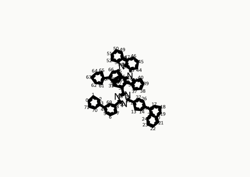 c1ccc(-c2cccc(-c3nc(-c4ccc(-c5cccc6ccccc56)cc4)nc(-c4cccc5c4c4ccccc4n5-c4cccc5c6ccccc6n(-c6cccc(-c7ccccc7)c6)c45)n3)c2)cc1